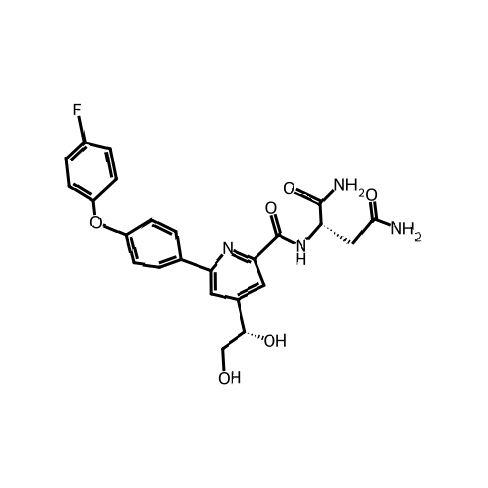 NC(=O)C[C@H](NC(=O)c1cc([C@H](O)CO)cc(-c2ccc(Oc3ccc(F)cc3)cc2)n1)C(N)=O